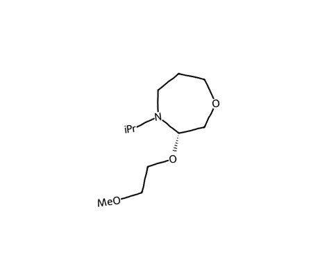 COCCO[C@H]1COCCCN1C(C)C